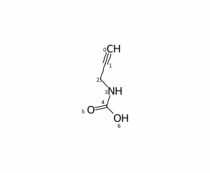 C#C[CH]NC(=O)O